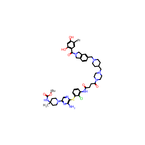 CC(C)c1cc(C(=O)N2Cc3ccc(CN4CCC(CN5CCN(C(=O)CCC(=O)Nc6cccc(Sc7ncc(N8CCC(C)(NC(=O)OC(C)(C)C)CC8)nc7N)c6Cl)CC5)CC4)cc3C2)c(O)cc1O